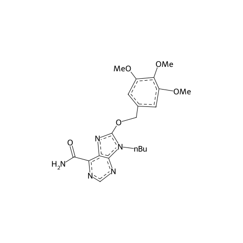 CCCCn1c(OCc2cc(OC)c(OC)c(OC)c2)nc2c(C(N)=O)ncnc21